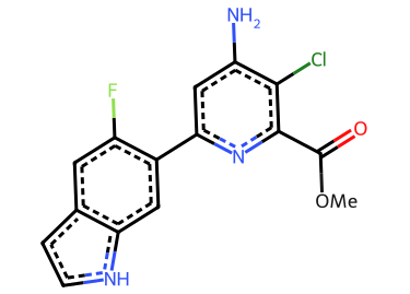 COC(=O)c1nc(-c2cc3[nH]ccc3cc2F)cc(N)c1Cl